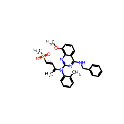 C=C(/C=C/S(C)(=O)=O)N(c1nc(NCc2ccccc2)c2cccc(OC)c2n1)c1ccccc1C